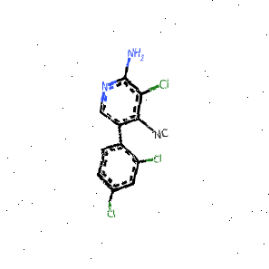 [C-]#[N+]c1c(-c2ccc(Cl)cc2Cl)cnc(N)c1Cl